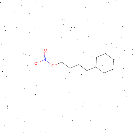 O=[N+]([O-])OCCCCC1CC[CH]CC1